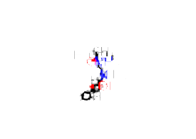 CN(CCCNC(=O)C(C)(C)C)CC[C@]1(O)C[C@H]2CC[C@@H]1C=C2c1ccccc1